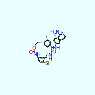 Cc1cc2ccc1CCOC(=O)Nc1ccc(S)c(c1)CNC(=O)C2Nc1ccc2c(N)nccc2c1